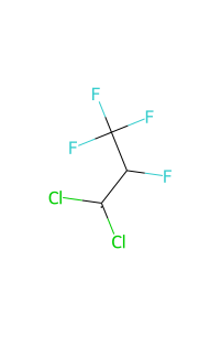 FC([C](Cl)Cl)C(F)(F)F